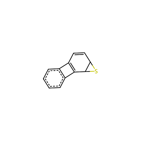 C1=CC2SC2C2=C1c1ccccc12